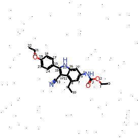 CCOC(=O)Nc1cc(CC)c2c(C#N)c(-c3ccc(OCC)cc3)[nH]c2c1